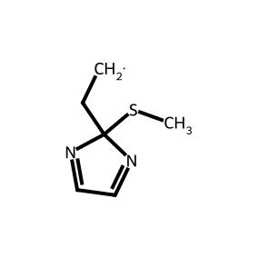 [CH2]CC1(SC)N=CC=N1